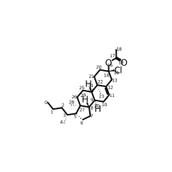 CCC[C@@H](C)[C@H]1CC[C@H]2[C@@H]3CC=C4C[C@@](Cl)(OC(C)=O)CC[C@]4(C)[C@H]3CC[C@]12C